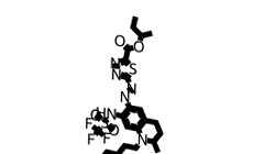 CCCCCN1c2cc(NS(=O)(=O)C(F)(F)F)c(N=Nc3nnc(C(=O)OC(C)CC)s3)cc2CCC1C